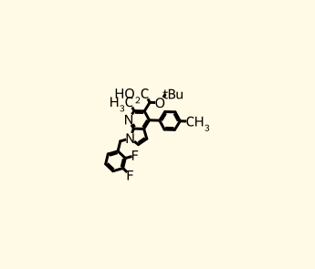 Cc1ccc(-c2c(C(OC(C)(C)C)C(=O)O)c(C)nc3c2ccn3Cc2cccc(F)c2F)cc1